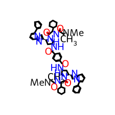 CN[C@@H](C)C(=O)N[C@H](C(=O)N1C[C@@H](NC(=O)c2ccc(C(=O)N[C@H]3C[C@@H](c4cn5c(-c6ccccc6)cccc5n4)N(C(=O)[C@@H](NC(=O)[C@H](C)NC)C4CCCCC4)C3)cc2)C[C@H]1c1cn2c(-c3ccccc3)cccc2n1)C1CCCCC1